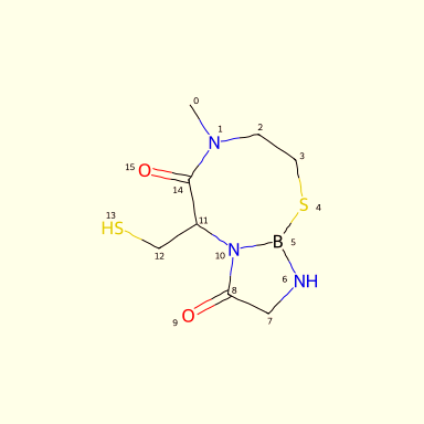 CN1CCSB2NCC(=O)N2C(CS)C1=O